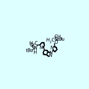 C[C@H](N[S+]([O-])C(C)(C)C)c1cccc(-c2c[c]c3cnn(-c4cccc(CO[Si](C)(C)C(C)(C)C)n4)c3c2)n1